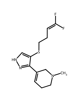 CN1CCC=C(c2n[nH]cc2SCCC=C(F)F)C1